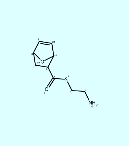 NCCSC(=O)C1CC2C=CC1O2